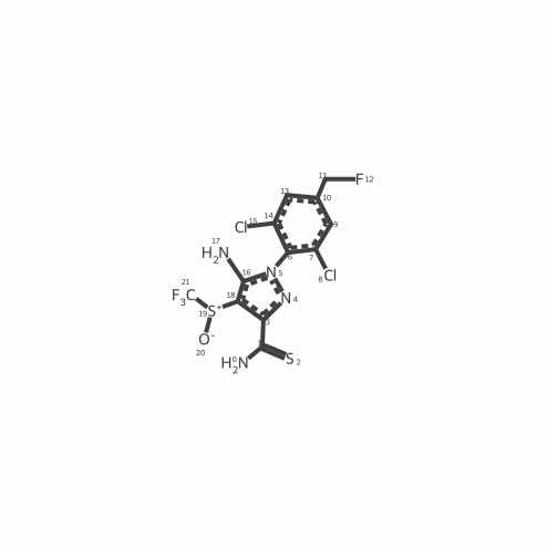 NC(=S)c1nn(-c2c(Cl)cc(CF)cc2Cl)c(N)c1[S+]([O-])C(F)(F)F